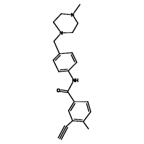 C#Cc1cc(C(=O)Nc2ccc(CN3CCN(C)CC3)cc2)ccc1C